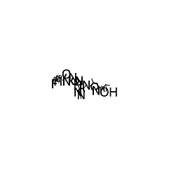 CC[C@@H](O)c1cc(C)c(Nc2cn(C)nc2-c2cc(NC(=O)[C@H]3C[C@H]3F)ncn2)cn1